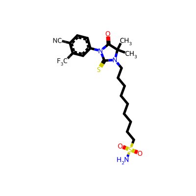 CC1(C)C(=O)N(c2ccc(C#N)c(C(F)(F)F)c2)C(=S)N1CCCCCCCCCS(N)(=O)=O